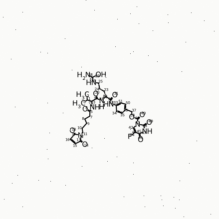 CC(C)[C@H](NC(=O)CCCCCN1C(=O)C=CC1=O)C(=O)N[C@@H](CCCNC(N)O)C(=O)Nc1ccc(COC(=O)n2cc(F)c(=O)[nH]c2=O)cc1